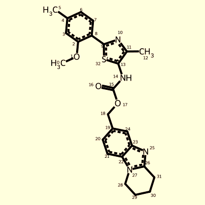 COc1cc(C)ccc1-c1nc(C)c(NC(=O)OCc2ccc3c(c2)nc2n3CCCC2)s1